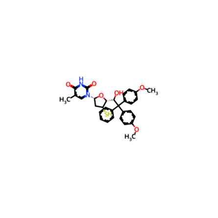 COc1ccc(C(c2ccccc2)(c2ccc(OC)cc2)C(O)[C@H]2O[C@@H](n3cc(C)c(=O)[nH]c3=O)C[C@@H]2S)cc1